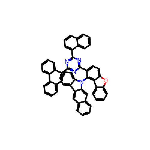 c1ccc2cc3c(cc2c1)c1ccccc1n3-c1c(-c2nc(-c3cccc4ccccc34)nc(-c3cc4ccccc4c4ccccc34)n2)ccc2oc3ccccc3c12